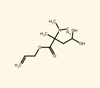 C=CCOC(=O)C(C)(CC(O)O)N(C)C